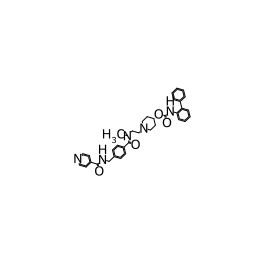 CN(CCN1CCC(OC(=O)Nc2ccccc2-c2ccccc2)CC1)C(=O)c1ccc(CNC(=O)c2ccncc2)cc1